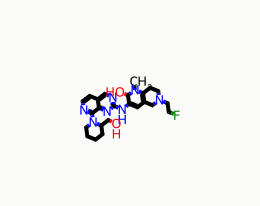 CN1C2=C(C=C(Nc3ncc4ccnc(N5CCCCC5CO)c4n3)C1O)CN(CCF)CC2